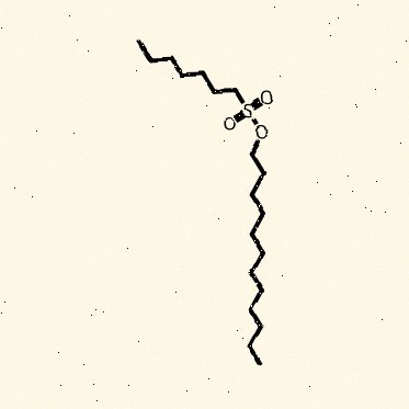 CCCCCCCCCCCCOS(=O)(=O)CCCCCCC